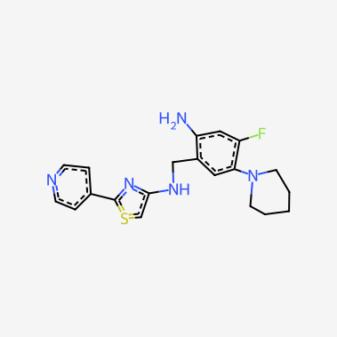 Nc1cc(F)c(N2CCCCC2)cc1CNc1csc(-c2ccncc2)n1